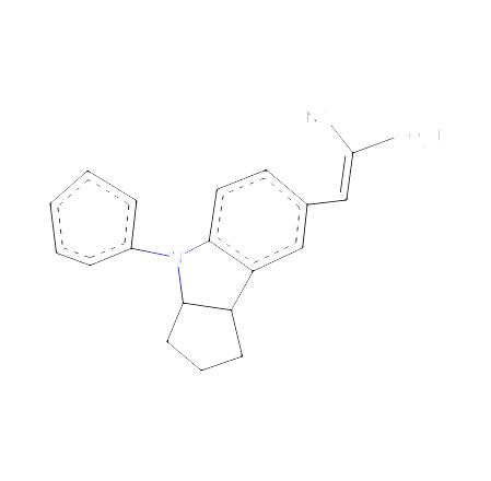 N#C/C(=C\c1ccc2c(c1)C1CCCC1N2c1ccccc1)C(=O)O